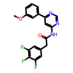 COc1cccc(-c2cc(NC(=O)Cc3cc(F)c(F)c(F)c3)ncn2)c1